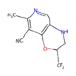 Cc1ncc2c(c1C#N)OC(C(F)(F)F)CN2